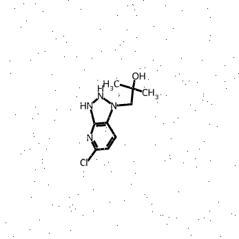 CC(C)(O)CN1NNc2nc(Cl)ccc21